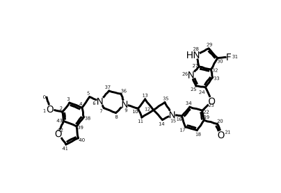 COc1cc(CN2CCN(C3CC4(C3)CN(c3ccc(C=O)c(Oc5cnc6[nH]cc(F)c6c5)c3)C4)CC2)cc2ccoc12